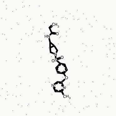 C=CC(=O)NC1C2CN(S(=O)(=O)c3ccc(Oc4cncc(C)n4)cc3)CC21